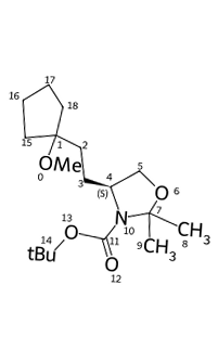 COC1(CC[C@H]2COC(C)(C)N2C(=O)OC(C)(C)C)CCCC1